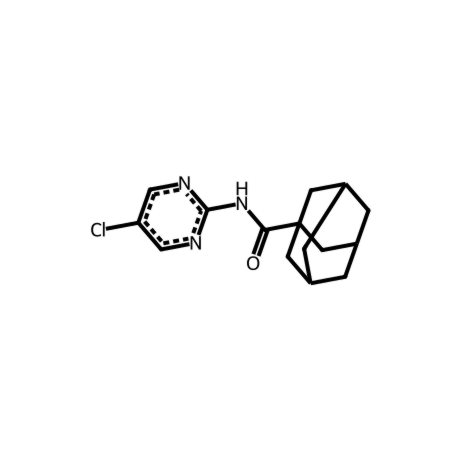 O=C(Nc1ncc(Cl)cn1)C12CC3CC(CC(C3)C1)C2